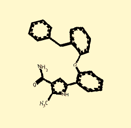 Cc1[nH]c(-c2ccccc2Oc2ccccc2Cc2ccccc2)cc1C(N)=O